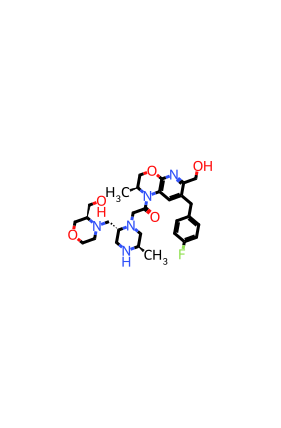 C[C@@H]1CN(CC(=O)N2c3cc(Cc4ccc(F)cc4)c(CO)nc3OC[C@@H]2C)[C@@H](CN2CCOC[C@H]2CO)CN1